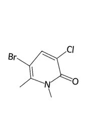 Cc1c(Br)cc(Cl)c(=O)n1C